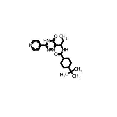 CCC(NC(=O)C1CCC(C(C)(C)C)CC1)c1nnc(-c2ccncc2)[nH]c1=O